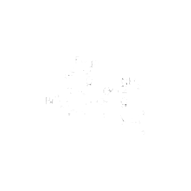 CC(C)C[C@@H](COc1ccc(Br)cc1OC(F)(F)F)OC(N)=O